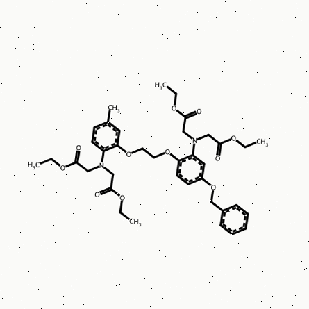 CCOC(=O)CN(CC(=O)OCC)c1ccc(C)cc1OCCOc1ccc(OCc2ccccc2)cc1N(CC(=O)OCC)CC(=O)OCC